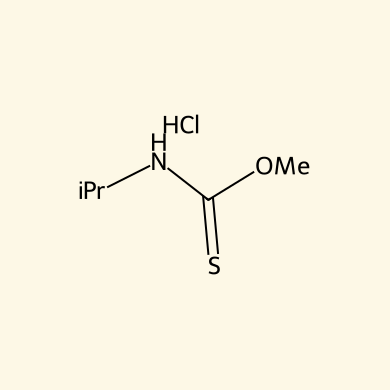 COC(=S)NC(C)C.Cl